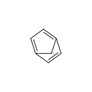 [CH]1C2=CC=C1C=C2